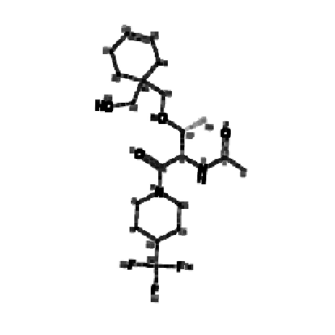 CC(=O)NC(C(=O)N1CCC(C(F)(F)F)CC1)[C@@H](C)OCC1(CO)CC=CCC1